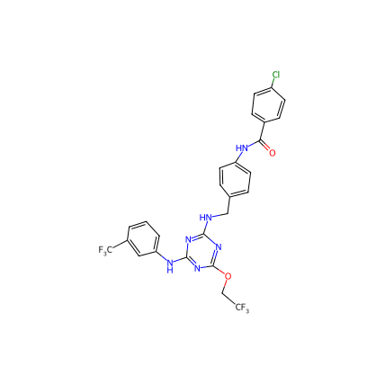 O=C(Nc1ccc(CNc2nc(Nc3cccc(C(F)(F)F)c3)nc(OCC(F)(F)F)n2)cc1)c1ccc(Cl)cc1